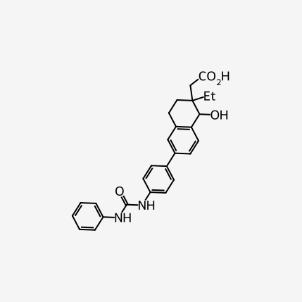 CCC1(CC(=O)O)CCc2cc(-c3ccc(NC(=O)Nc4ccccc4)cc3)ccc2C1O